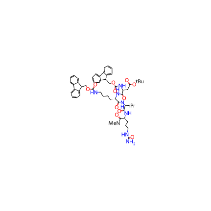 CNC(=O)[C@H](CCCNC(N)=O)NC(=O)[C@@H](NC(=O)[C@H](CCCCNC(=O)OCC1c2ccccc2-c2ccccc21)NC(=O)[C@H](CC(=O)OC(C)(C)C)NC(=O)OCC1c2ccccc2-c2ccccc21)C(C)C